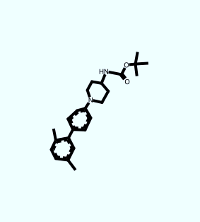 Cc1ccc(C)c(-c2ccc(N3CCC(NC(=O)OC(C)(C)C)CC3)cc2)c1